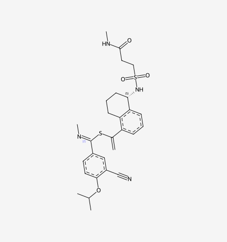 C=C(S/C(=N\C)c1ccc(OC(C)C)c(C#N)c1)c1cccc2c1CCC[C@@H]2NS(=O)(=O)CCC(=O)NC